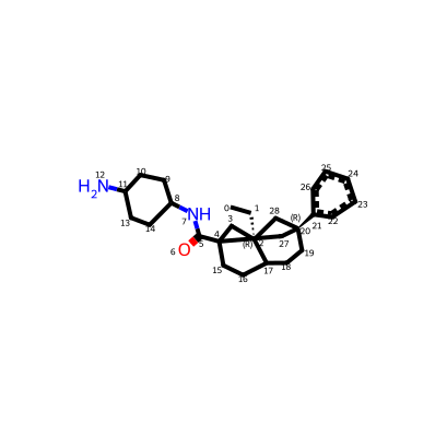 CC[C@@]12CC3(C(=O)NC4CCC(N)CC4)CCC1CC[C@](c1ccccc1)(C3)C2